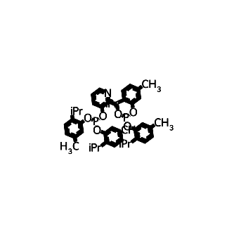 Cc1ccc(C(C)C)c(OP(OCc2ncccc2OP(Oc2cc(C)ccc2C(C)C)Oc2cc(C)ccc2C(C)C)Oc2cc(C)ccc2C(C)C)c1